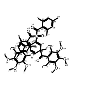 COc1c(Cl)c(C(=O)C2(C)C=CC(C)(C(=O)c3c(Cl)c(OC)c(OC)c(OC)c3Cl)C(P(=O)(C(=O)c3c(C)cc(C)cc3C)C(=O)c3c(C)cc(C)cc3C)=C2)c(Cl)c(OC)c1OC